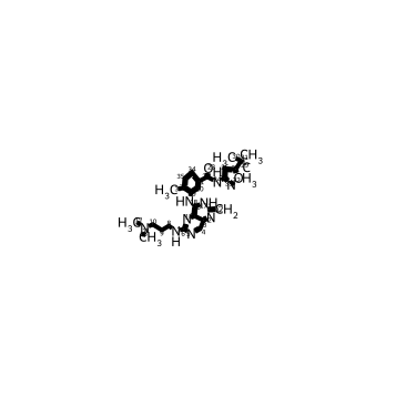 C=C/N=C1/C=NC(NCCCN(C)C)=N/C1=C(/N)Nc1cc(C(=O)Nc2cc(C(C)(C)C)on2)ccc1C